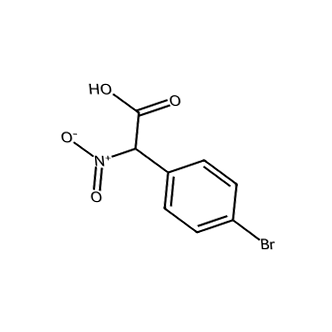 O=C(O)C(c1ccc(Br)cc1)[N+](=O)[O-]